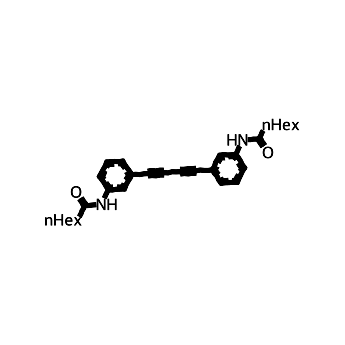 CCCCCCC(=O)Nc1cccc(C#CC#Cc2cccc(NC(=O)CCCCCC)c2)c1